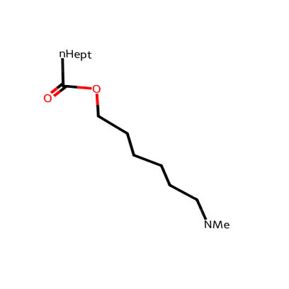 CCCCCCCC(=O)OCCCCCCNC